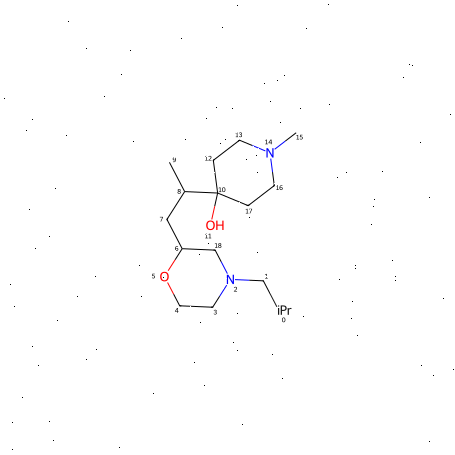 CC(C)CN1CCOC(CC(C)C2(O)CCN(C)CC2)C1